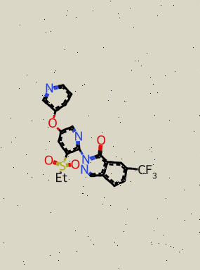 CCS(=O)(=O)c1cc(Oc2cccnc2)cnc1-n1ncc2ccc(C(F)(F)F)cc2c1=O